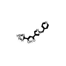 O=C(C=C(O)c1nn[nH]n1)c1cnn(Cc2ccncc2)c1